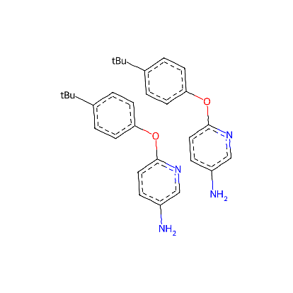 CC(C)(C)c1ccc(Oc2ccc(N)cn2)cc1.CC(C)(C)c1ccc(Oc2ccc(N)cn2)cc1